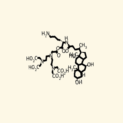 C[C@H](CCC(=O)N[C@@H](CCCCN)C(=O)OC(=O)CN(CCN(CC(=O)O)CC(=O)O)CCN(CC(=O)O)CC(=O)O)[C@H]1CCC2C3C(C[C@H](O)[C@@]21C)[C@@]1(C)CC[C@@H](O)C[C@H]1C[C@H]3O